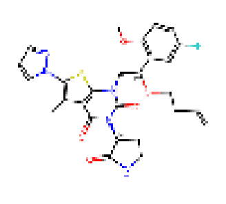 C=CCCO[C@@H](Cn1c(=O)n([C@H]2CCNC2=O)c(=O)c2c(C)c(-n3cccn3)sc21)c1cc(F)ccc1OC